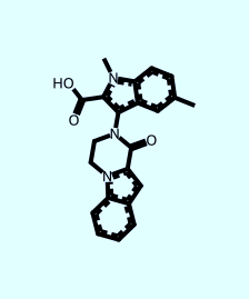 Cc1ccc2c(c1)c(N1CCn3c(cc4ccccc43)C1=O)c(C(=O)O)n2C